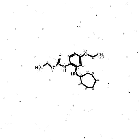 CCOC(=O)Nc1ccc(OCC)cc1NC1CCCCCC1